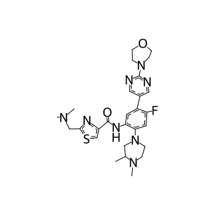 CC1CN(c2cc(F)c(-c3cnc(N4CCOCC4)nc3)cc2NC(=O)c2csc(CN(C)C)n2)CCN1C